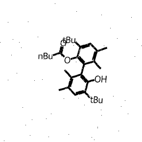 CCCCC(=O)Oc1c(C(C)(C)C)cc(C)c(C)c1-c1c(C)c(C)cc(C(C)(C)C)c1O